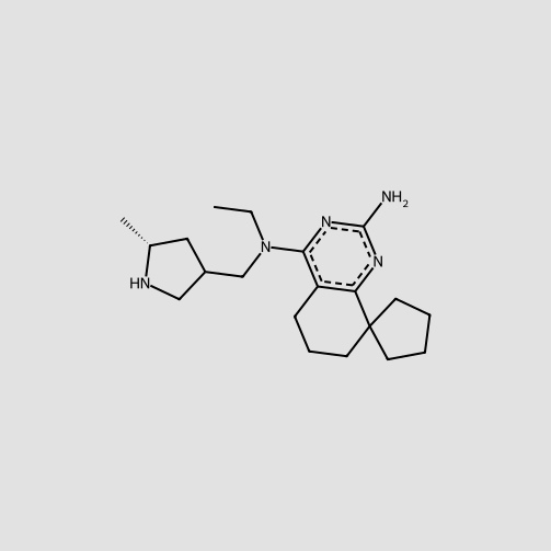 CCN(CC1CN[C@H](C)C1)c1nc(N)nc2c1CCCC21CCCC1